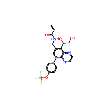 C=CC(=O)NCc1cc(-c2ccc(OC(F)(F)F)cc2)c2nccnc2c1C(O)CO